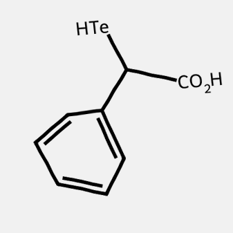 O=C(O)C([TeH])c1ccccc1